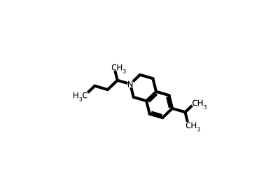 CCCC(C)N1CCc2cc(C(C)C)ccc2C1